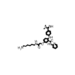 CN(C)C(=N)c1ccc(Nc2ccc(OCC(=O)NCCCCCCN)cc2C(=O)Nc2ccccn2)cc1